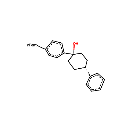 CCCCCc1ccc([C@]2(O)CC[C@@H](c3ccccc3)CC2)cc1